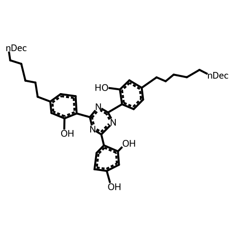 CCCCCCCCCCCCCCCc1ccc(-c2nc(-c3ccc(O)cc3O)nc(-c3ccc(CCCCCCCCCCCCCCC)cc3O)n2)c(O)c1